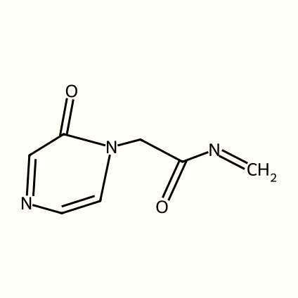 C=NC(=O)Cn1ccncc1=O